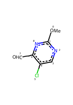 COc1ncc(Cl)c(C=O)n1